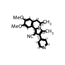 COc1cc2c(cc1OC)-c1c(C#N)c(-c3ccncc3)c(C)n1C(C)C2